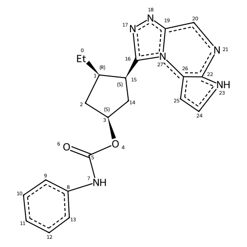 CC[C@@H]1C[C@H](OC(=O)Nc2ccccc2)C[C@@H]1c1nnc2cnc3[nH]ccc3n12